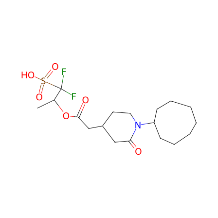 CC(OC(=O)CC1CCN(C2CCCCCCC2)C(=O)C1)C(F)(F)S(=O)(=O)O